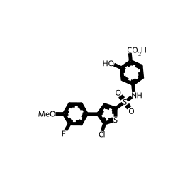 COc1ccc(-c2cc(S(=O)(=O)Nc3ccc(C(=O)O)c(O)c3)sc2Cl)cc1F